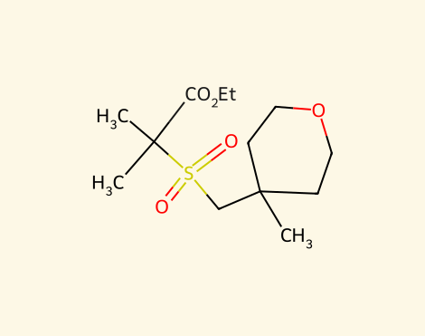 CCOC(=O)C(C)(C)S(=O)(=O)CC1(C)CCOCC1